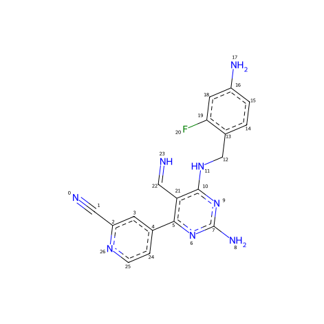 N#Cc1cc(-c2nc(N)nc(NCc3ccc(N)cc3F)c2C=N)ccn1